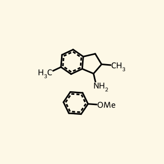 COc1ccccc1.Cc1ccc2c(c1)C(N)C(C)C2